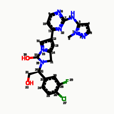 Cn1nccc1Nc1nccc(-c2cc3n(c2)C(O)N([C@H](CO)c2ccc(Cl)c(F)c2)C3)n1